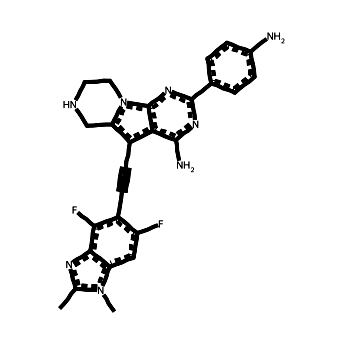 Cc1nc2c(F)c(C#Cc3c4n(c5nc(-c6ccc(N)cc6)nc(N)c35)CCNC4)c(F)cc2n1C